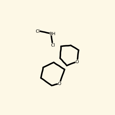 C1CCOCC1.C1CCOCC1.ClBCl